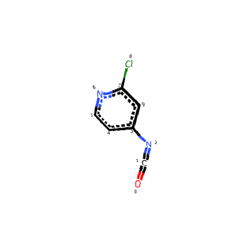 O=C=Nc1ccnc(Cl)c1